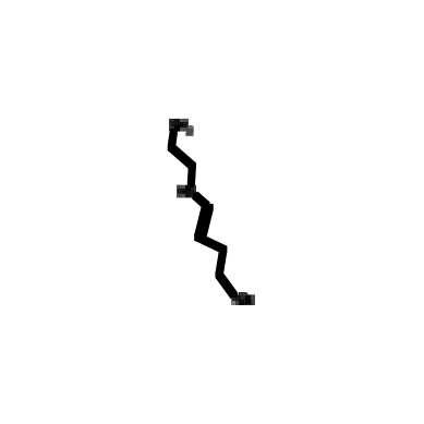 CCCCCCC=CNCCN